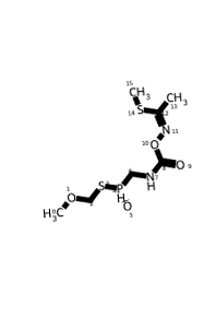 COCS[PH](=O)CNC(=O)ON=C(C)SC